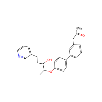 CNC(=O)Cc1cccc(-c2ccc(OC(C)C(O)CCc3cccnc3)cc2)c1